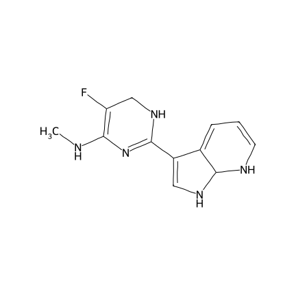 CNC1=C(F)CNC(C2=CNC3NC=CC=C23)=N1